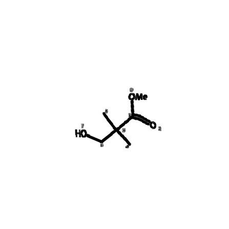 [CH2]OC(=O)C(C)(C)CO